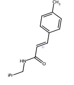 Cc1ccc(/C=C/C(=O)NCC(C)C)cc1